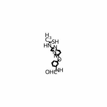 CC(S)Nc1cn2nc(Oc3cccc(NC=O)c3)ccc2n1